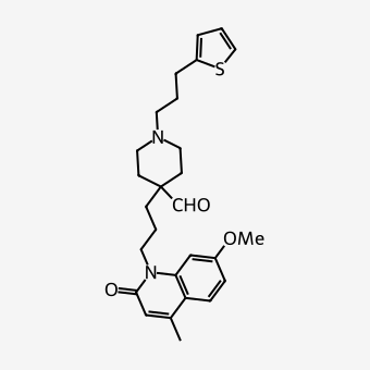 COc1ccc2c(C)cc(=O)n(CCCC3(C=O)CCN(CCCc4cccs4)CC3)c2c1